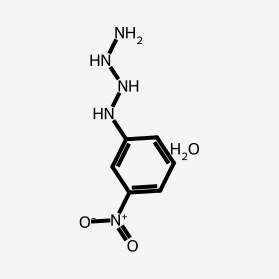 NNNNc1cccc([N+](=O)[O-])c1.O